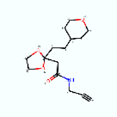 C#CCNC(=O)CC1(CCC2CCOCC2)OCCO1